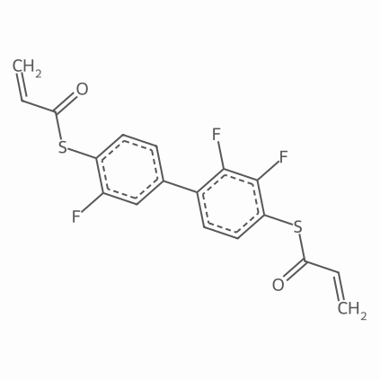 C=CC(=O)Sc1ccc(-c2ccc(SC(=O)C=C)c(F)c2F)cc1F